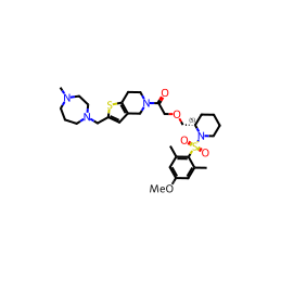 COc1cc(C)c(S(=O)(=O)N2CCCC[C@H]2COCC(=O)N2CCc3sc(CN4CCCN(C)CC4)cc3C2)c(C)c1